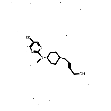 CN(c1ncc(Br)cn1)[C@H]1CC[C@H](CC#CCO)CC1